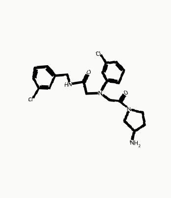 NC1CCN(C(=O)CN(CC(=O)NCc2cccc(Cl)c2)c2cccc(Cl)c2)C1